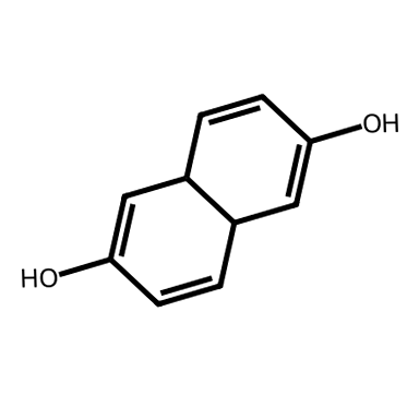 OC1=CC2C=CC(O)=CC2C=C1